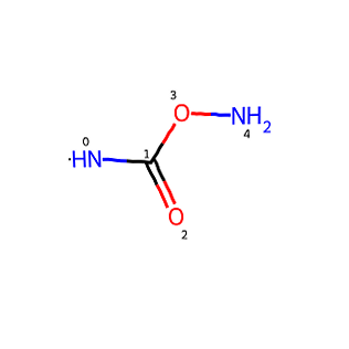 [NH]C(=O)ON